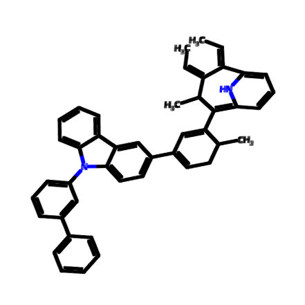 C/C=C1\C(=C/C)C2=CC=CC(=C(C3=CC(c4ccc5c(c4)c4ccccc4n5-c4cccc(-c5ccccc5)c4)=CCC3C)C1C)N2